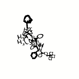 CS[C@@]1(C(=O)OCc2ccccc2)N2C(=O)[C@@H](NC(=O)C(NC(=O)OCC(Cl)(Cl)Cl)c3ccccc3)[C@H]2SC1(C)C